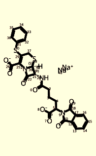 O=C(CCCC(C(=O)[O-])N1C(=O)c2ccccc2C1=O)N[C@@H]1C(=O)N2C(C(=O)[O-])=C(Sc3ccccc3)CS[C@@H]12.[Na+].[Na+]